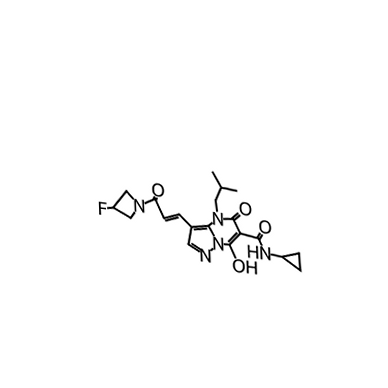 CC(C)Cn1c(=O)c(C(=O)NC2CC2)c(O)n2ncc(C=CC(=O)N3CC(F)C3)c12